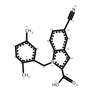 Cc1ccc(C)c(Cn2c(C(=O)O)cc3cc(C#N)ccc32)c1